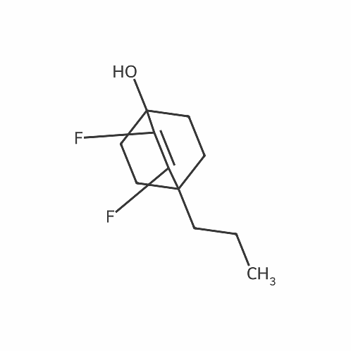 CCCC12CCC(O)(CC1)C(F)=C2F